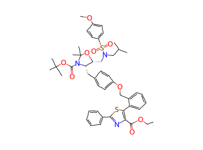 CCOC(=O)c1nc(-c2ccccc2)sc1-c1ccccc1COc1ccc(C[C@H]2[C@@H](CN(CC(C)C)S(=O)(=O)c3ccc(OC)cc3)OC(C)(C)N2C(=O)OC(C)(C)C)cc1